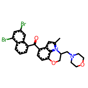 Cc1cc2c(C(=O)c3cccc4c(Br)cc(Br)cc34)ccc3c2n1C(CN1CCOCC1)CO3